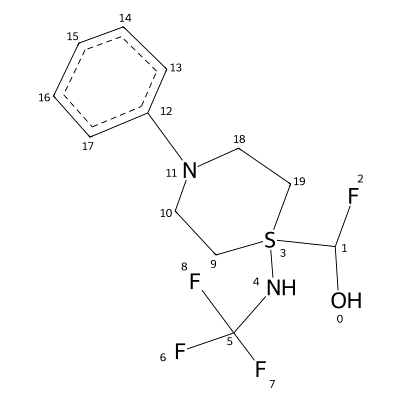 OC(F)S1(NC(F)(F)F)CCN(c2ccccc2)CC1